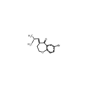 CN(C)/C=C1\CCOc2ccc(Br)cc2C1=O